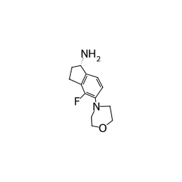 N[C@H]1CCc2c1ccc(N1CCOCC1)c2F